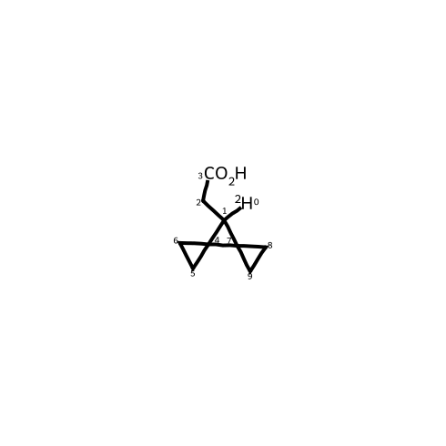 [2H]C1(CC(=O)O)C2(CC2)C12CC2